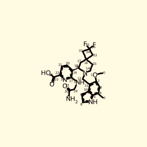 COc1cc(C)c2[nH]ccc2c1CN1CCC2(C[C@@H]1c1ccc(C(=O)O)nc1NCC(N)=O)CC(F)(F)C2